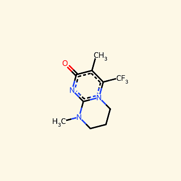 Cc1c(C(F)(F)F)n2c(nc1=O)N(C)CCC2